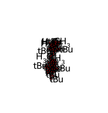 CC(C)(C)c1ccc(-c2ccc3c(c2)B2c4cc(C(C)(C)C)ccc4N(c4ccc(C(C)(C)C)cc4)c4cc(N5c6ccccc6[Si](c6ccccc6)(c6ccc(CC(C)(C)c7ccc(-c8ccc9c(c8)B8c%10cc(C(C)(C)C)ccc%10N(c%10ccc(C(C)(C)C)cc%10)c%10cc(N%11c%12ccccc%12C(C)(C)C%11(C)C)cc(c%108)N9c8ccc(C(C)(C)C)cc8)cc7)cc6)c6ccccc65)cc(c42)N3c2ccc(C(C)(C)C)cc2)cc1